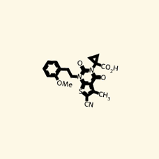 COc1ccccc1CCn1c(=O)n(C2(C(=O)O)CC2)c(=O)c2c(C)c(C#N)sc21